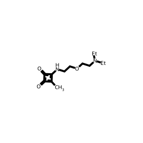 CCN(CC)CCOCCNc1c(C)c(=O)c1=O